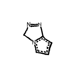 c1cc2n(c1)CN=N2